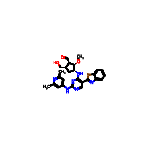 CO[C@H]1[C@H]([C]=O)[C@H](CO)C[C@H]1Nc1nc(Nc2cc(C)nc(C)c2)ncc1-c1nc2ccccc2s1